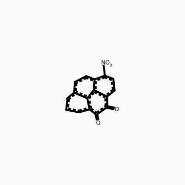 O=c1c(=O)c2ccc([N+](=O)[O-])c3ccc4cccc1c4c32